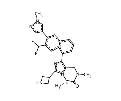 C[C@H]1C(=O)N(C)Cc2c(-c3cccc4nc(-c5cnn(C)c5)c(C(F)F)cc34)nc(C3CNC3)n21